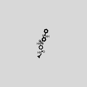 O=C(NCC1CC1)[C@H]1CC[C@H](NS(=O)(=O)c2ccc3[nH]c(-c4ccccc4)nc3c2)CC1